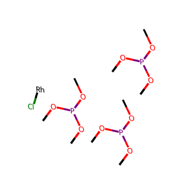 COP(OC)OC.COP(OC)OC.COP(OC)OC.[Cl][Rh]